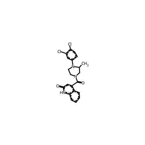 CC1CN(C(=O)c2cc(=O)[nH]c3ccccc23)CCN1c1ccc(Cl)c(Cl)c1